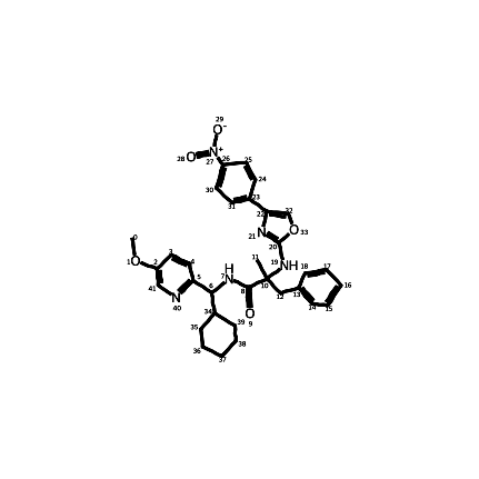 COc1ccc(C(NC(=O)C(C)(Cc2ccccc2)Nc2nc(-c3ccc([N+](=O)[O-])cc3)co2)C2CCCCC2)nc1